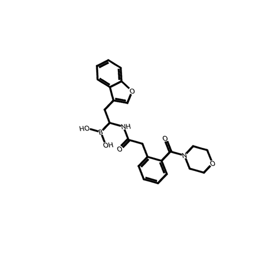 O=C(Cc1ccccc1C(=O)N1CCOCC1)NC(Cc1coc2ccccc12)B(O)O